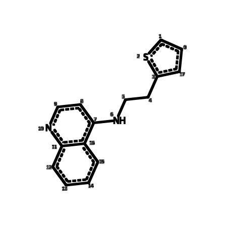 c1csc(CCNc2ccnc3ccccc23)c1